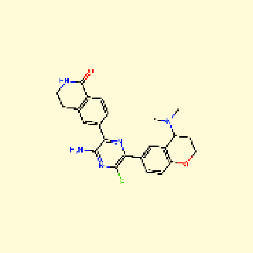 CN(C)C1CCOc2ccc(-c3nc(-c4ccc5c(c4)CCNC5=O)c(N)nc3F)cc21